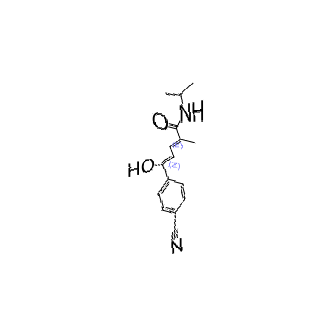 C/C(=C\C=C(/O)c1ccc(C#N)cc1)C(=O)NC(C)C